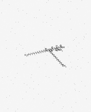 CCCCCCCCCCCCCCCCCC(=O)OCC(COC(=O)CCC(=O)NC(CCC(=O)O)C(N)=O)OC(=O)CCCCCCCCCCCCCCCCC